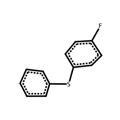 Fc1ccc(Sc2cc[c]cc2)cc1